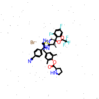 Cc1cc(C[n+]2cnn(C[C@](OC(=O)C(F)(F)F)(c3ccc(F)cc3F)[C@@H](C)c3nc(-c4ccc(C#N)cc4)cs3)c2)cc(C)c1OC(=O)C1CCCN1.[Br-]